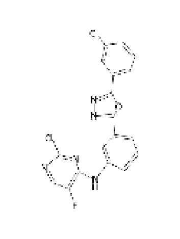 Fc1cnc(Cl)nc1Nc1cccc(-c2nnc(-c3cccc(Cl)c3)o2)c1